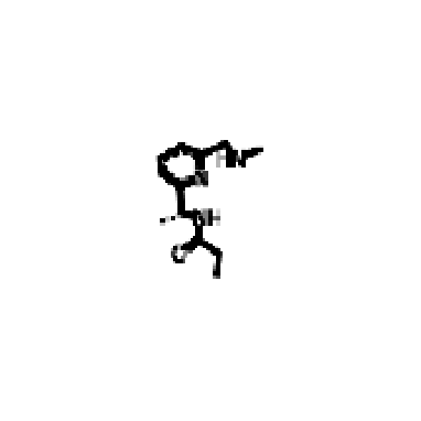 CCC(=O)N[C@H](C)c1cccc(CNC)n1